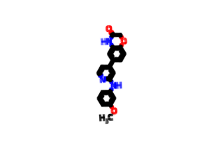 COc1cccc(Nc2cc(-c3ccc4c(c3)NC(=O)CO4)ccn2)c1